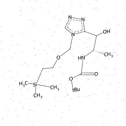 C[C@H](NC(=O)OC(C)(C)C)C(O)c1nncn1COCC[Si](C)(C)C